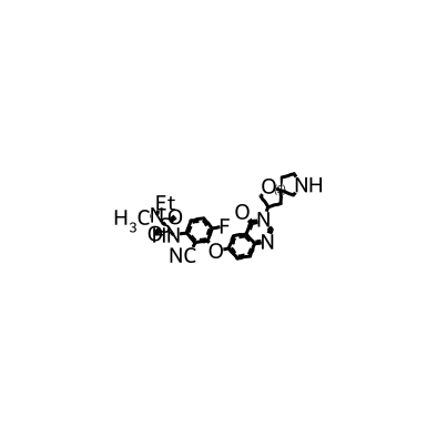 CCN(C)S(=O)(=O)Nc1ccc(F)c(Oc2ccc3ncn(C4CO[C@@]5(CCNC5)C4)c(=O)c3c2)c1C#N